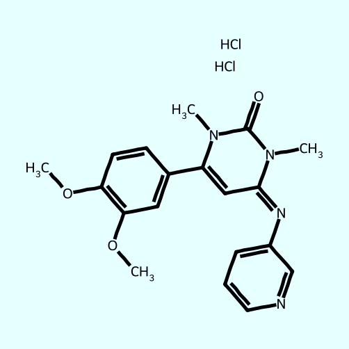 COc1ccc(-c2cc(=Nc3cccnc3)n(C)c(=O)n2C)cc1OC.Cl.Cl